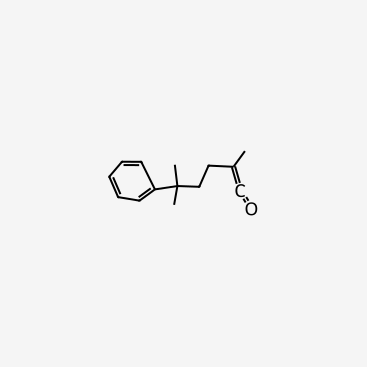 CC(=C=O)CCC(C)(C)c1ccccc1